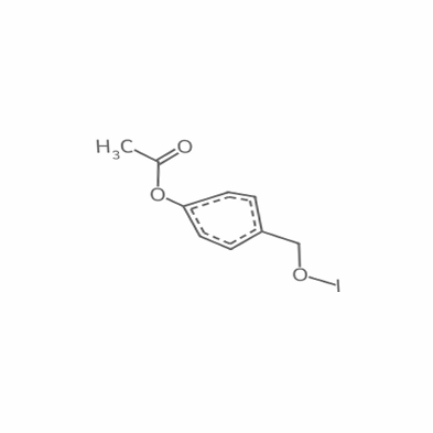 CC(=O)Oc1ccc(COI)cc1